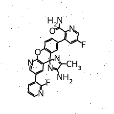 CC1=NC2(N=C1N)c1cc(-c3cc(F)cnc3C(N)=O)ccc1Oc1ncc(-c3cccnc3F)cc12